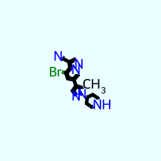 Cc1c(-c2cc(Br)c3c(C#N)cnn3c2)cnn1C1CCNCC1